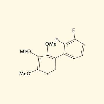 COC1=C(OC)C(OC)=C(c2cccc(F)c2F)C[CH]1